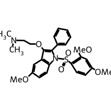 COc1ccc(S(=O)(=O)n2c(-c3ccccc3)c(OCCN(C)C)c3cc(OC)ccc32)c(OC)c1